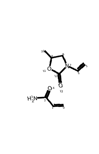 C=CC(N)=O.C=CN1CC(C)OC1=O